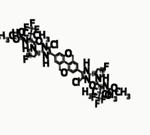 COC(=O)N[C@H](C(=O)N1C[C@H](F)C[C@H]1c1nc(Cl)c(-c2cc3c4c(c2)OCc2cc(-c5[nH]c([C@@H]6C[C@@H](F)CN6C(=O)[C@@H](NC(=O)OC)C(C)(C)C(F)(F)F)nc5Cl)cc(c2-4)OC3)[nH]1)C(C)(C)C(F)(F)F